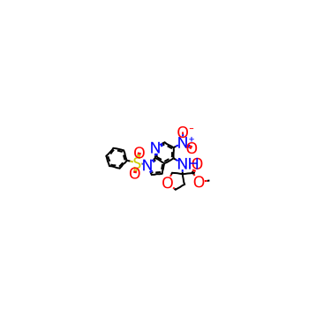 COC(=O)C1(Nc2c([N+](=O)[O-])cnc3c2ccn3S(=O)(=O)c2ccccc2)CCOC1